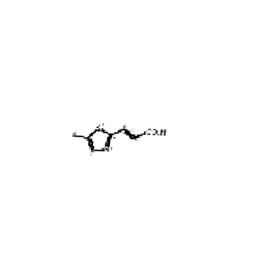 Cc1cnc(/C=C/C(=O)O)s1